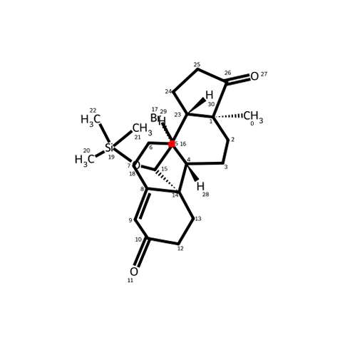 C[C@]12CC[C@H]3[C@@H](CCC4=CC(=O)CC[C@@]43C(CBr)O[Si](C)(C)C)[C@@H]1CCC2=O